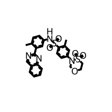 Cc1ccc(NS(=O)(=O)c2ccc(N3COCCS3(=O)=O)cc2C)cc1-c1ncc2ccccc2n1